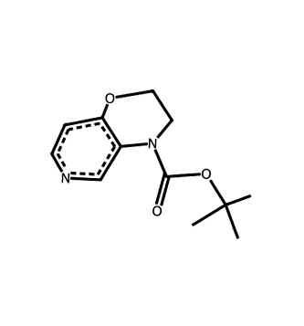 CC(C)(C)OC(=O)N1CCOc2ccncc21